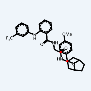 COc1ccc(CN2C3CCC2CC(NC(=O)CNC(=O)c2ccccc2Nc2cccc(C(F)(F)F)c2)C3)cc1